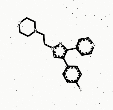 Fc1ccc(-c2cn(CCN3CCOCC3)nc2-c2ccncc2)cc1